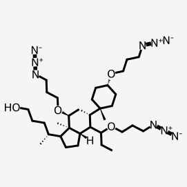 CCC(OCCCN=[N+]=[N-])C1[C@@H]2CCC([C@H](C)CCCO)[C@@]2(C)[C@@H](OCCCN=[N+]=[N-])C[C@@H]1[C@]1(C)CC[C@H](OCCCN=[N+]=[N-])CC1